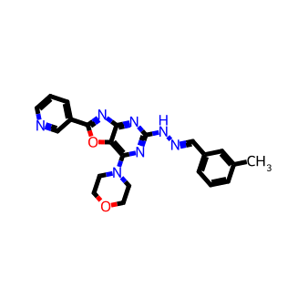 Cc1cccc(/C=N/Nc2nc(N3CCOCC3)c3oc(-c4cccnc4)nc3n2)c1